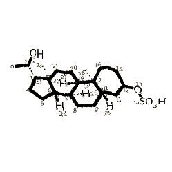 CC(O)[C@H]1CC[C@H]2[C@@H]3CC[C@H]4CC(OS(=O)(=O)O)CC[C@]4(C)[C@H]3CC[C@]12C